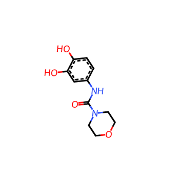 O=C(Nc1ccc(O)c(O)c1)N1CCOCC1